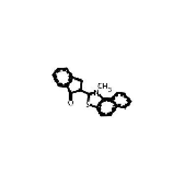 CN1c2c(ccc3ccccc23)SC1C1Cc2ccccc2C1=O